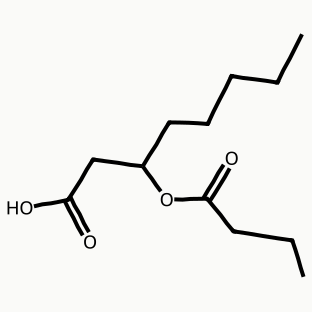 CCCCCC(CC(=O)O)OC(=O)CCC